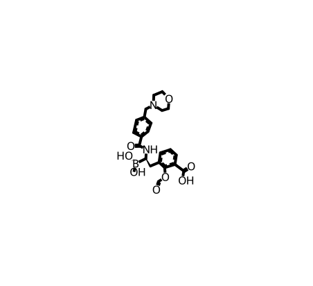 O=COc1c(C[C@H](NC(=O)c2ccc(CN3CCOCC3)cc2)B(O)O)cccc1C(=O)O